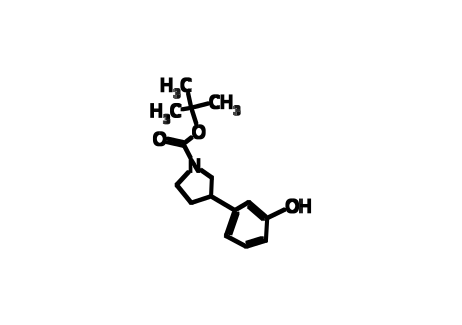 CC(C)(C)OC(=O)N1CCC(c2cccc(O)c2)C1